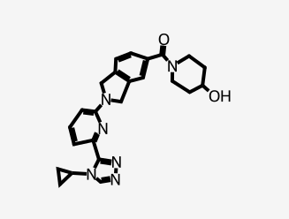 O=C(c1ccc2c(c1)CN(c1cccc(-c3nncn3C3CC3)n1)C2)N1CCC(O)CC1